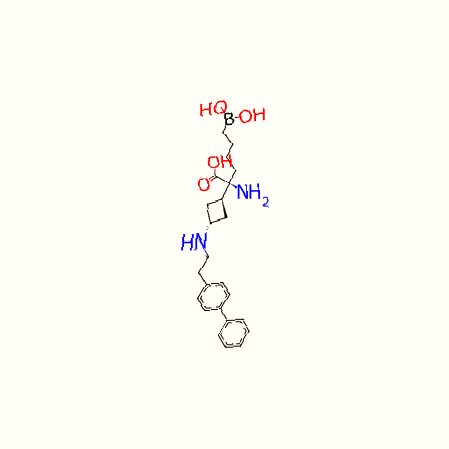 N[C@](CCCCB(O)O)(C(=O)O)[C@H]1C[C@H](NCCc2ccc(-c3ccccc3)cc2)C1